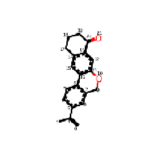 C=C(C)c1ccc2c(c1)COc1cc3c(cc1-2)CCCC3=O